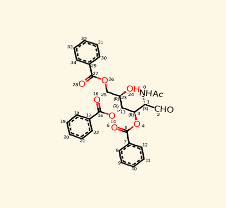 CC(=O)N[C@H](C=O)[C@@H](OC(=O)c1ccccc1)[C@H](OC(=O)c1ccccc1)[C@H](O)COC(=O)c1ccccc1